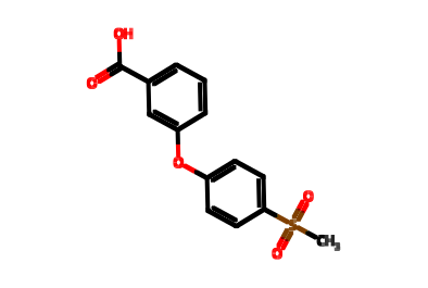 CS(=O)(=O)c1ccc(Oc2cccc(C(=O)O)c2)cc1